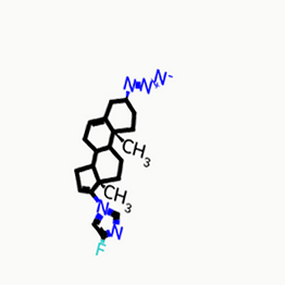 C[C@]12CC[C@H](N=[N+]=[N-])CC1=CCC1C2CC[C@]2(C)C(n3cnc(F)c3)=CCC12